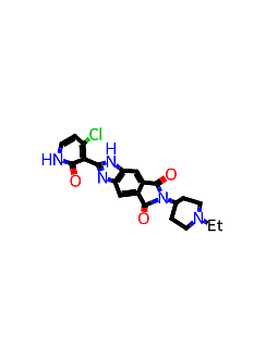 CCN1CCC(N2C(=O)c3cc4nc(-c5c(Cl)cc[nH]c5=O)[nH]c4cc3C2=O)CC1